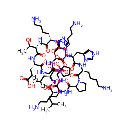 CC(C)C[C@H](NC(=O)[C@@H](N)CC(C)C)C(=O)N1CCC[C@H]1C(=O)N[C@@H](CCCCN)C(=O)N[C@@H](CCCCN)C(=O)N[C@H](C(=O)N[C@@H](CCC(=O)O)C(=O)N[C@@H](CO)C(=O)N[C@@H](Cc1c[nH]cn1)C(=O)N[C@@H](Cc1c[nH]cn1)C(=O)N[C@@H](CCCCN)C(=O)N1CCC[C@H]1C(=O)N[C@@H](CCCCN)C(=O)NCC(=O)O)[C@@H](C)O